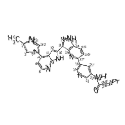 Cc1cn(-c2ccnc3[nH]c(-c4n[nH]c5ccc(-c6cncc(NC(=O)C(C)C)c6)nc45)cc23)cn1